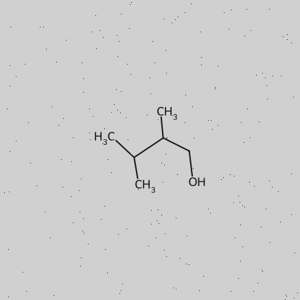 C[C](CO)C(C)C